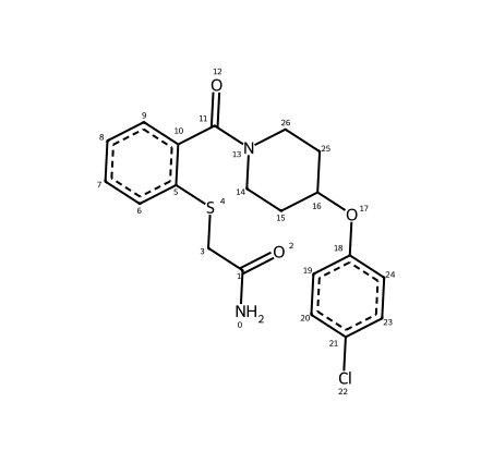 NC(=O)CSc1ccccc1C(=O)N1CCC(Oc2ccc(Cl)cc2)CC1